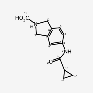 O=C(Nc1ccc2c(c1)CN(C(=O)O)C2)C1CC1